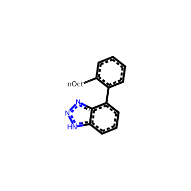 CCCCCCCCc1ccccc1-c1cccc2[nH]nnc12